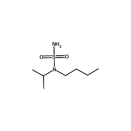 CCCCN(C(C)C)S(N)(=O)=O